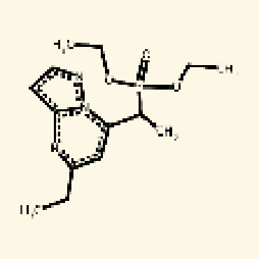 CCOP(=O)(OCC)C(C)c1cc(CC)nc2ccnn12